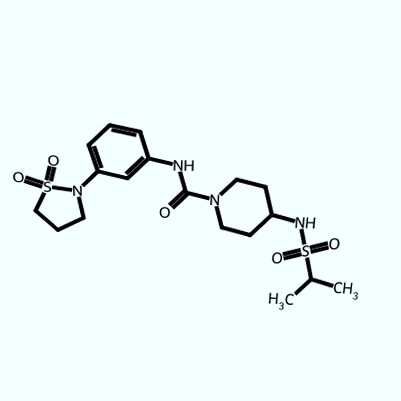 CC(C)S(=O)(=O)NC1CCN(C(=O)Nc2cccc(N3CCCS3(=O)=O)c2)CC1